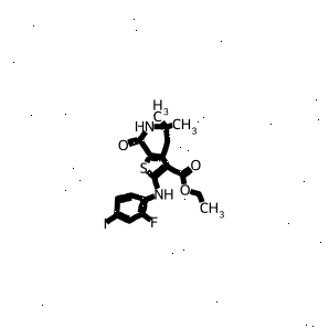 CCOC(=O)c1c(Nc2ccc(I)cc2F)sc2c1CC(C)(C)NC2=O